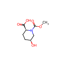 COC(=O)N1C[C@@H](O)CC[C@H]1C(=O)O